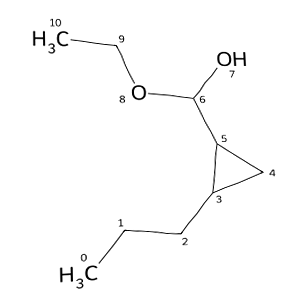 CCCC1CC1C(O)OCC